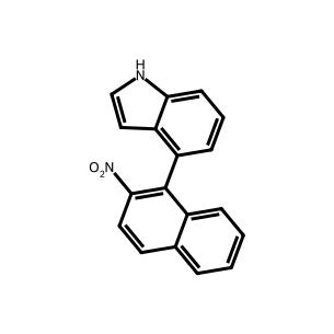 O=[N+]([O-])c1ccc2ccccc2c1-c1cccc2[nH]ccc12